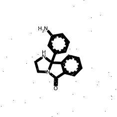 Nc1cccc(C23NCCN2C(=O)c2ccccc23)c1